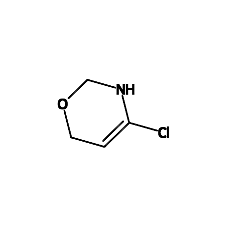 ClC1=CCOCN1